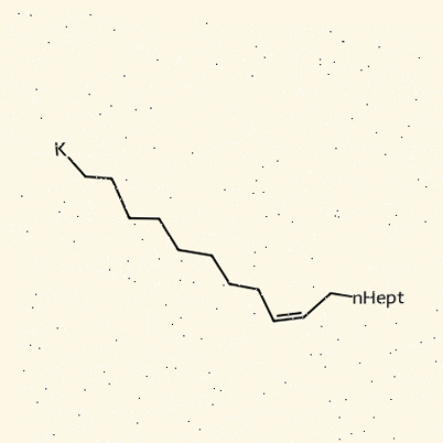 CCCCCCCC/C=C\CCCCCCC[CH2][K]